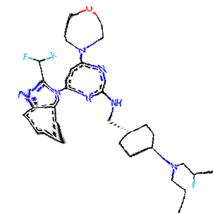 CC(F)CN(CCCO)[C@H]1CC[C@H](CNc2nc(N3CCOCC3)cc(-n3c(C(F)F)nc4ccccc43)n2)CC1